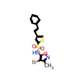 Cc1noc(NS(=O)(=O)c2cc(C=Cc3ccccc3)cs2)c1Br